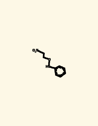 O=[N+]([O-])CCONc1ccccc1